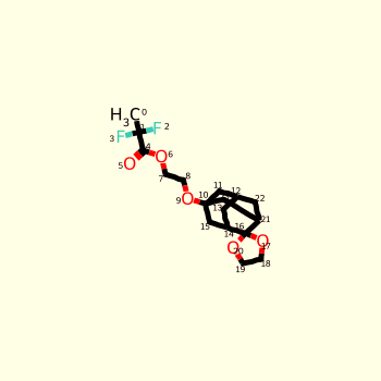 CC(F)(F)C(=O)OCCOC12CC3CC(C1)C1(OCCO1)C(C3)C2